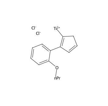 CCCOc1ccccc1C1=[C]([Ti+2])CC=C1.[Cl-].[Cl-]